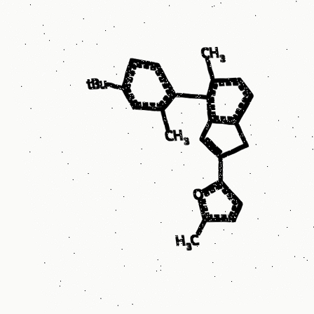 Cc1ccc(C2=Cc3c(ccc(C)c3-c3ccc(C(C)(C)C)cc3C)C2)o1